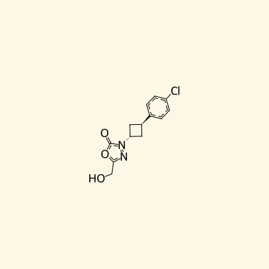 O=c1oc(CO)nn1[C@H]1C[C@H](c2ccc(Cl)cc2)C1